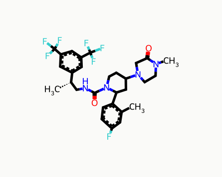 Cc1cc(F)ccc1C1CC(N2CCN(C)C(=O)C2)CCN1C(=O)NC[C@H](C)c1cc(C(F)(F)F)cc(C(F)(F)F)c1